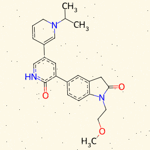 COCCN1C(=O)Cc2cc(-c3cc(C4=CN(C(C)C)CC=C4)c[nH]c3=O)ccc21